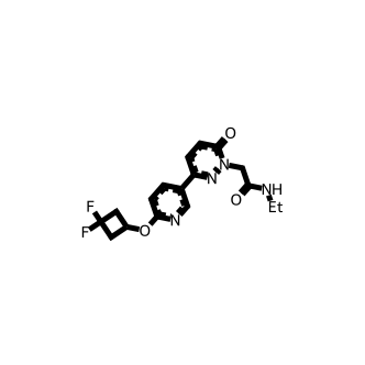 CCNC(=O)Cn1nc(-c2ccc(OC3CC(F)(F)C3)nc2)ccc1=O